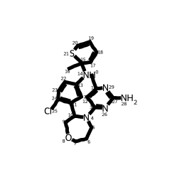 Cc1cc(N2CCCOCC2c2cc(NC3(C)C=CC=CS3)ccc2Cl)nc(N)n1